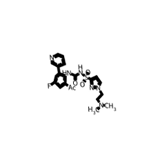 CC(=O)c1cc(F)cc(-c2cccnc2)c1NC(=O)NS(=O)(=O)c1ccn(CCN(C)C)n1